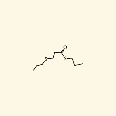 CCCSCCC(=O)SCCC